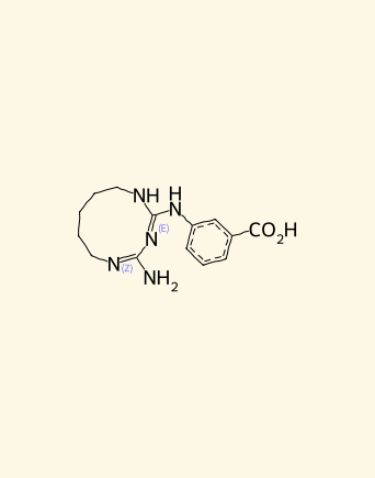 NC1=N/CCCCCN/C(Nc2cccc(C(=O)O)c2)=N\1